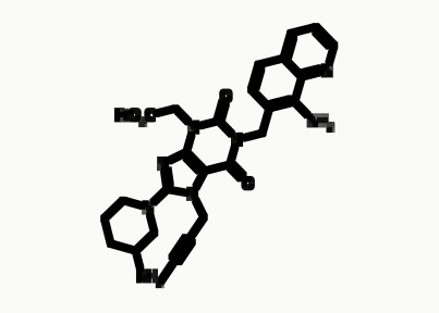 CC#CCn1c(N2CCCC(N)C2)nc2c1c(=O)n(Cc1ccc3cccnc3c1N)c(=O)n2CC(=O)OCC